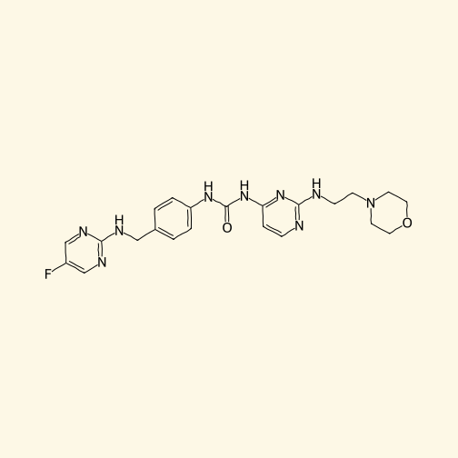 O=C(Nc1ccc(CNc2ncc(F)cn2)cc1)Nc1ccnc(NCCN2CCOCC2)n1